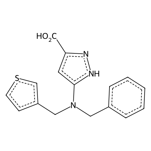 O=C(O)c1cc(N(Cc2ccccc2)Cc2ccsc2)[nH]n1